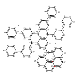 c1ccc(-c2cccc(N3c4cc(-c5ccccc5)ccc4B4c5ccc(-c6ccccc6)cc5N(c5cccc(-c6ccccc6)c5)c5cc(N(c6cccc7ccccc67)c6cccc7ccccc67)cc3c54)c2)cc1